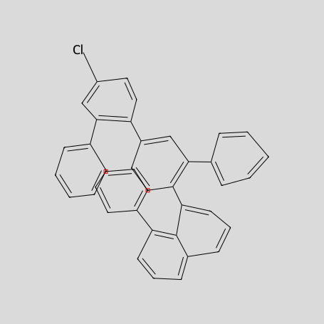 Clc1ccc(-c2ccc(-c3cccc4cccc(-c5ccccc5)c34)c(-c3ccccc3)c2)c(-c2ccccc2)c1